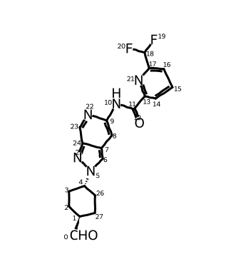 O=C[C@H]1CC[C@H](n2cc3cc(NC(=O)c4cccc(C(F)F)n4)ncc3n2)CC1